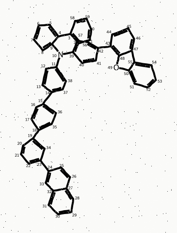 c1ccc(-c2ccccc2N(c2ccc(-c3ccc(-c4cccc(-c5ccc6ccccc6c5)c4)cc3)cc2)c2ccc(-c3cccc4c3oc3ccccc34)cc2)cc1